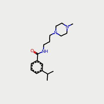 CC(C)c1cccc(C(=O)NCCCN2CCN(C)CC2)c1